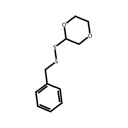 c1ccc(CSSC2COCCO2)cc1